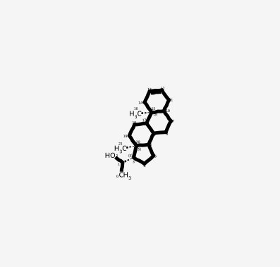 CC(O)[C@H]1CCC2C3CCC4CC=CC[C@]4(C)C3CC[C@@]21C